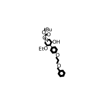 CCO[C@@H]1CN(OC(=O)OC(C)(C)C)C[C@H](O)[C@H]1c1ccc(OCCCOCc2ccccc2)cc1